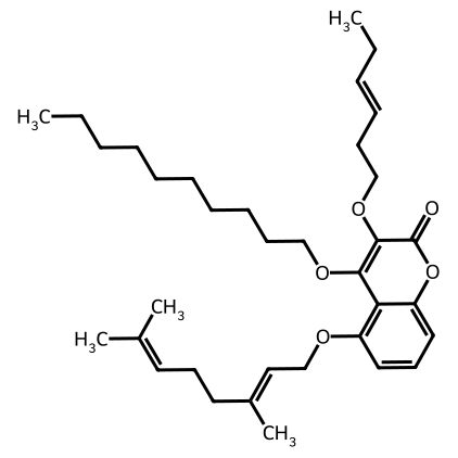 CC/C=C/CCOc1c(OCCCCCCCCCC)c2c(OC/C=C(\C)CCC=C(C)C)cccc2oc1=O